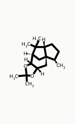 C[C@@H]1CC[C@H]2C(C)(C)[C@H]3C[C@@]12C[C@@H]1OC(C)(C)O[C@@H]13